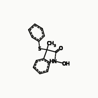 CC(Sc1ccccc1)(C(=O)NO)c1ccccc1